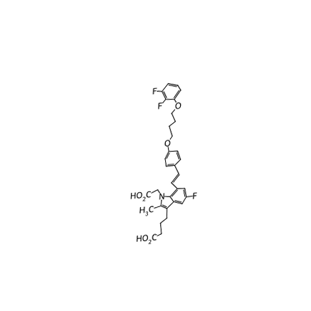 Cc1c(CCCC(=O)O)c2cc(F)cc(C=Cc3ccc(OCCCCOc4cccc(F)c4F)cc3)c2n1CC(=O)O